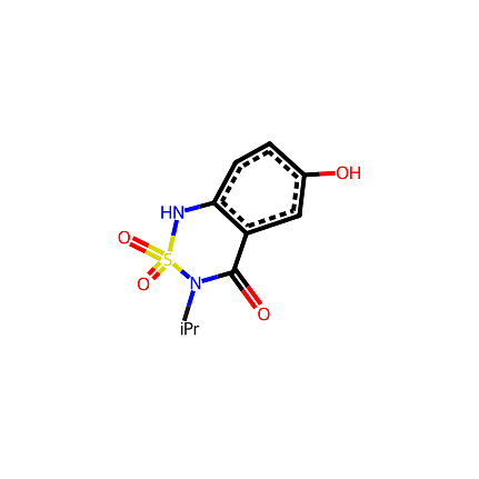 CC(C)N1C(=O)c2cc(O)ccc2NS1(=O)=O